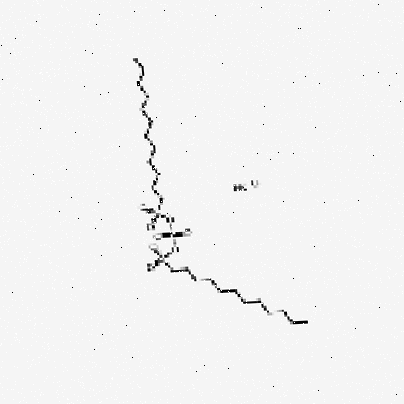 CCCCCCCCCCCCS(=O)(=O)OS(=O)(=O)OS(=O)(=O)CCCCCCCCCCCC.[KH].[KH]